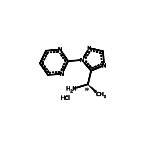 C[C@H](N)c1ncnn1-c1ncccn1.Cl